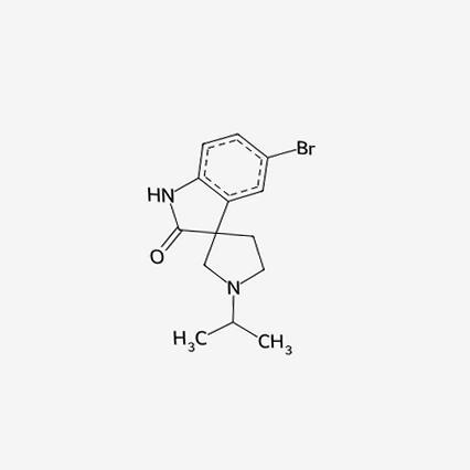 CC(C)N1CCC2(C1)C(=O)Nc1ccc(Br)cc12